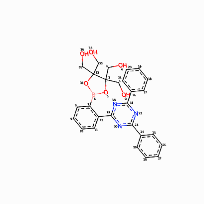 OCC1(CO)OB(c2ccccc2-c2nc(-c3ccccc3)nc(-c3ccccc3)n2)OC1(CO)CO